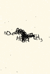 CC=COOOOOOOOOCCCCCCCCCC.O=P(O)(O)O